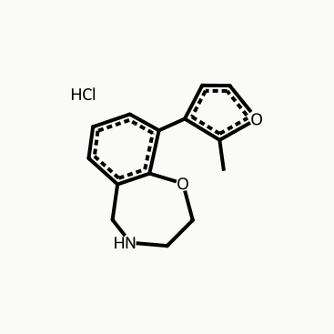 Cc1occc1-c1cccc2c1OCCNC2.Cl